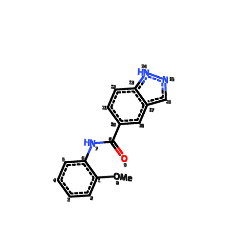 COc1ccccc1NC(=O)c1ccc2[nH]ncc2c1